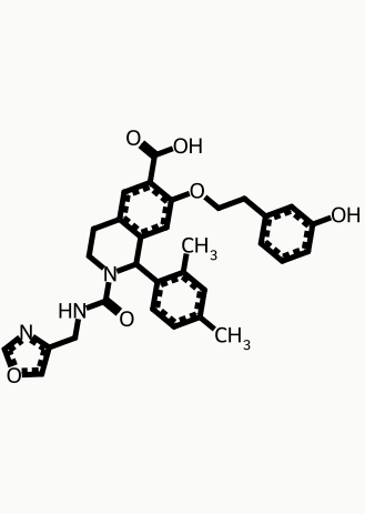 Cc1ccc(C2c3cc(OCCc4cccc(O)c4)c(C(=O)O)cc3CCN2C(=O)NCc2cocn2)c(C)c1